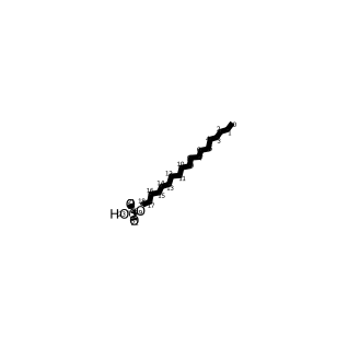 CCCCCCCCCCCCCCCCCCCOS(=O)(=O)O